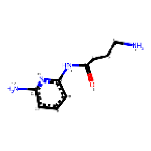 NCCCC(=O)Nc1cccc(N)n1